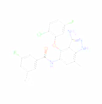 Cc1cc(NC(=O)c2cc(F)cc(C(F)(F)F)c2)c(Oc2cc(F)ccc2Cl)c2c(N)n[nH]c12